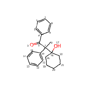 CC(C(=O)c1ccccc1)(c1ccccc1)C1(O)CCCCC1